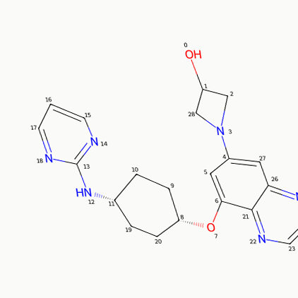 OC1CN(c2cc(O[C@H]3CC[C@@H](Nc4ncccn4)CC3)c3nccnc3c2)C1